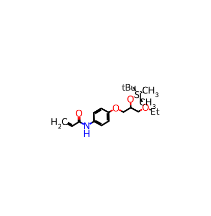 C=CC(=O)Nc1ccc(OCC(COCC)O[Si](C)(C)C(C)(C)C)cc1